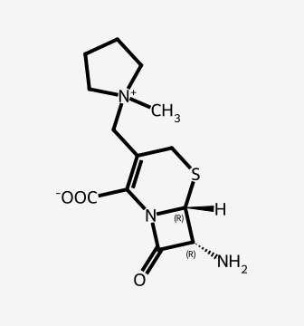 C[N+]1(CC2=C(C(=O)[O-])N3C(=O)[C@@H](N)[C@H]3SC2)CCCC1